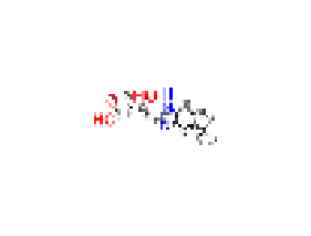 CC(CC(=O)O)C(O)Cc1nc2cc(C(C)(C)C)ccc2[nH]1